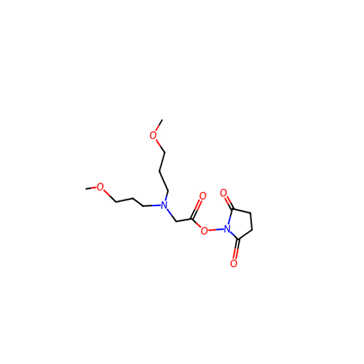 COCCCN(CCCOC)CC(=O)ON1C(=O)CCC1=O